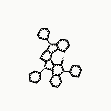 O=c1c2c3c4c5ccccc5n(-c5ccccc5)c4ccc3n(-c3ccccc3)c2c2ccccc2n1-c1ccccc1